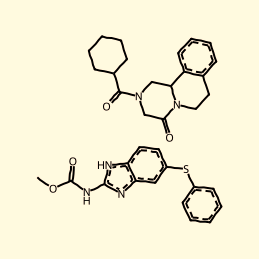 COC(=O)Nc1nc2cc(Sc3ccccc3)ccc2[nH]1.O=C(C1CCCCC1)N1CC(=O)N2CCc3ccccc3C2C1